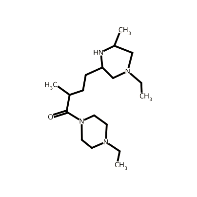 CCN1CCN(C(=O)C(C)CCC2CN(CC)CC(C)N2)CC1